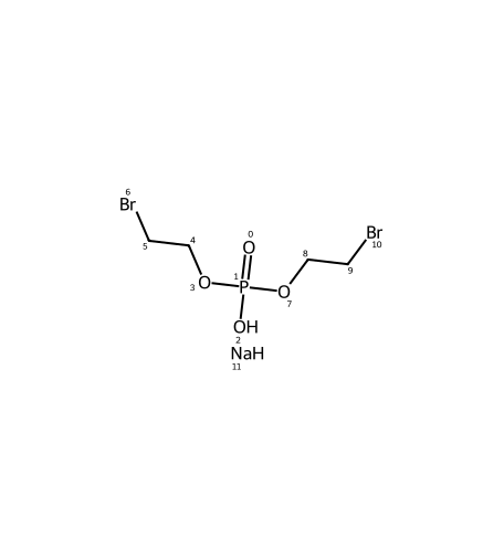 O=P(O)(OCCBr)OCCBr.[NaH]